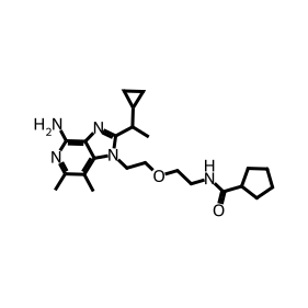 Cc1nc(N)c2nc(C(C)C3CC3)n(CCOCCNC(=O)C3CCCC3)c2c1C